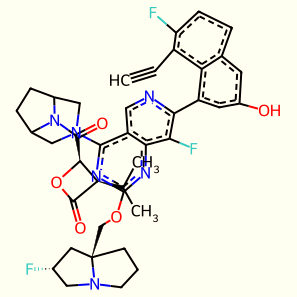 C#Cc1c(F)ccc2cc(O)cc(-c3ncc4c(N5CC6CCC(C5)N6C(=O)[C@@H]5OC(=O)[C@@H]5C(C)C)nc(OC[C@@]56CCCN5C[C@H](F)C6)nc4c3F)c12